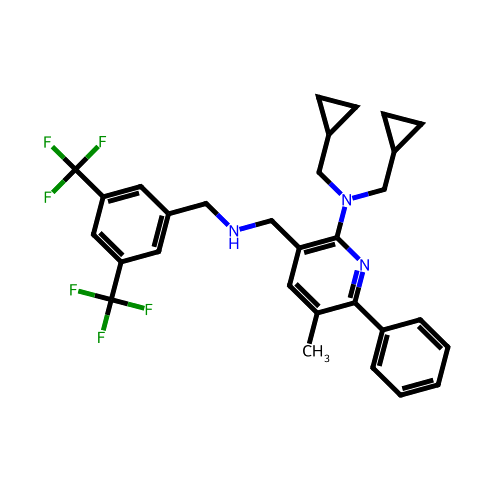 Cc1cc(CNCc2cc(C(F)(F)F)cc(C(F)(F)F)c2)c(N(CC2CC2)CC2CC2)nc1-c1ccccc1